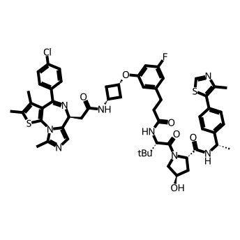 Cc1ncsc1-c1ccc([C@H](C)NC(=O)[C@@H]2C[C@@H](O)CN2C(=O)[C@@H](NC(=O)CCc2cc(F)cc(O[C@H]3C[C@@H](NC(=O)C[C@@H]4N=C(c5ccc(Cl)cc5)c5c(sc(C)c5C)-n5c4cnc5C)C3)c2)C(C)(C)C)cc1